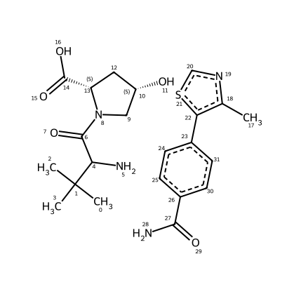 CC(C)(C)C(N)C(=O)N1C[C@@H](O)C[C@H]1C(=O)O.Cc1ncsc1-c1ccc(C(N)=O)cc1